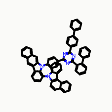 c1ccc(-c2ccc(-c3nc(-c4ccc(-n5c6cc7ccccc7cc6c6cccc(-n7c8ccccc8c8c9ccccc9ccc87)c65)cc4)nc(-c4ccccc4-c4ccccc4)n3)cc2)cc1